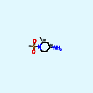 C[C@@H]1C[C@@H](N)CCN1S(C)(=O)=O